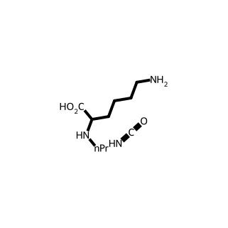 CCCNC(CCCCN)C(=O)O.N=C=O